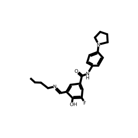 CCCCN=Cc1cc(C(=O)Nc2ccc(N3CCCC3)cc2)cc(F)c1O